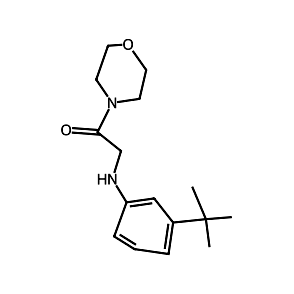 CC(C)(C)c1cccc(NCC(=O)N2CCOCC2)c1